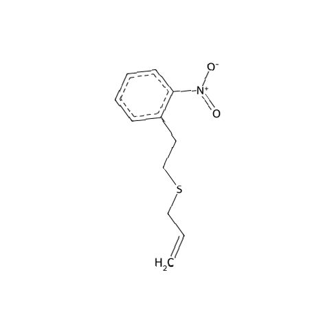 C=CCSCCc1ccccc1[N+](=O)[O-]